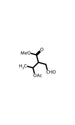 COC(=O)C(CC=O)C(C)OC(C)=O